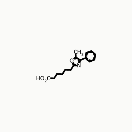 Cc1oc(CCCCCC(=O)O)nc1-c1ccccc1